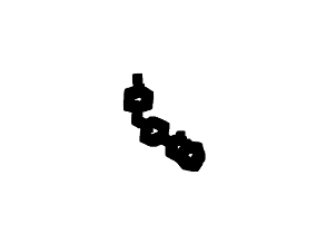 Fc1ccc(CN2CC=C(c3cc4ccccc4s3)CC2)cc1